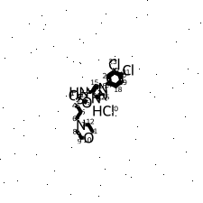 Cl.O=S(=O)(CCCN1CCOCC1)Nc1cn(-c2ccc(Cl)c(Cl)c2)nn1